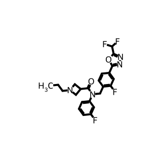 CCCN1CC(C(=O)N(Cc2ccc(-c3nnc(C(F)F)o3)cc2F)c2cccc(F)c2)C1